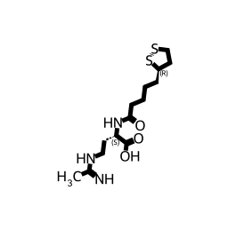 CC(=N)NCC[C@H](NC(=O)CCCC[C@@H]1CCSS1)C(=O)O